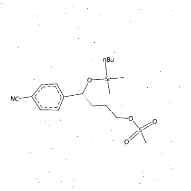 CCCC[Si](C)(C)O[C@H](CCCOS(C)(=O)=O)c1ccc(C#N)cc1